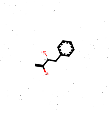 C=C(O)[C@H](O)Cc1ccccc1